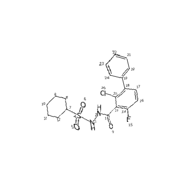 O=C(NNS(=O)(=O)C1CCCCC1)c1c(F)ccc(-c2ccccc2)c1Cl